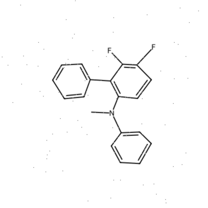 CN(c1ccccc1)c1ccc(F)c(F)c1-c1ccccc1